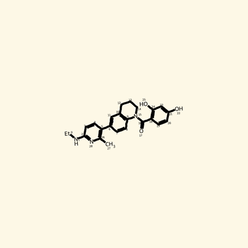 CCNc1ccc(-c2ccc3c(c2)CCCN3C(=O)c2ccc(O)cc2O)c(C)n1